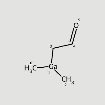 [CH3][Ga]([CH3])[CH2]C=O